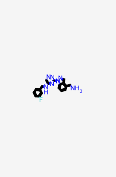 NCc1cccc2c1cnn2-c1nncc(NCc2cccc(F)c2)n1